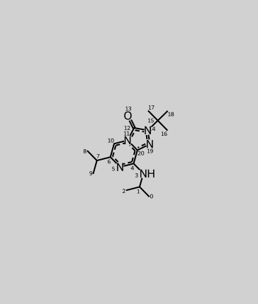 CC(C)Nc1nc(C(C)C)cn2c(=O)n(C(C)(C)C)nc12